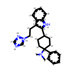 CN(C)C1(c2ccccc2)CCC(c2[nH]c3ccccc3c2CCn2cncn2)CC1